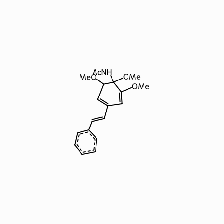 COC1=CC(C=Cc2ccccc2)=CC(OC)C1(NC(C)=O)OC